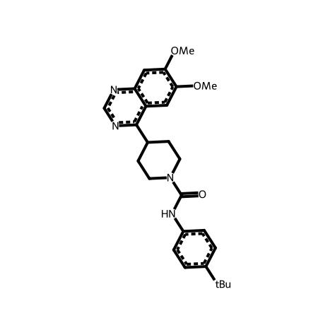 COc1cc2ncnc(C3CCN(C(=O)Nc4ccc(C(C)(C)C)cc4)CC3)c2cc1OC